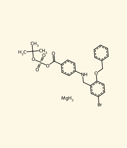 CC(C)(C)OS(=O)(=O)OC(=O)c1ccc(NCc2cc(Br)ccc2OCc2ccccc2)cc1.[MgH2]